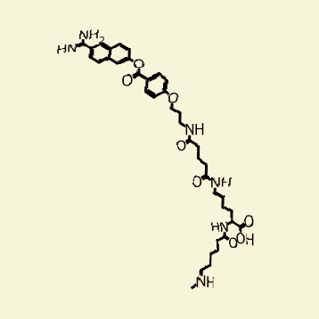 CNCCCCCC(=O)NC(CCCCNC(=O)CCCC(=O)NCCCOc1ccc(C(=O)Oc2ccc3cc(C(=N)N)ccc3c2)cc1)C(=O)O